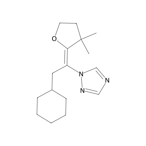 CC1(C)CCOC1=C(CC1CCCCC1)n1cncn1